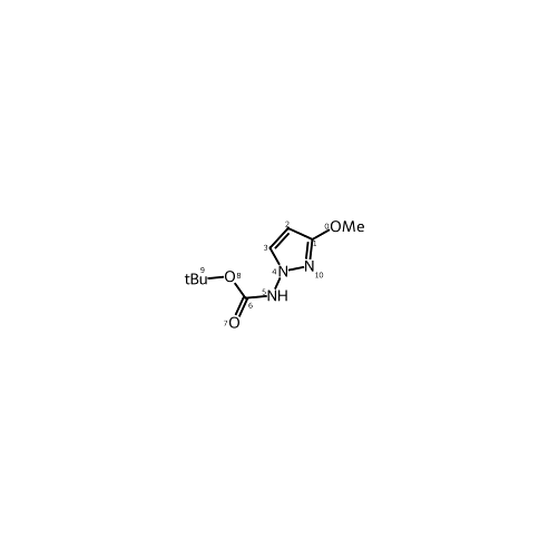 COc1ccn(NC(=O)OC(C)(C)C)n1